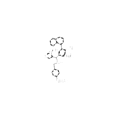 CC(=O)Nc1ccc(CNC(c2ccc(C#N)c(-c3cccc4ccccc34)c2)c2cncn2C)cc1.Cl.Cl